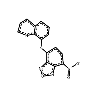 O=[N+]([O-])c1ccc(Sc2cccc3cccnc23)c2nonc12